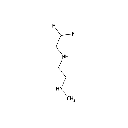 CNCCNCC(F)F